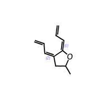 C=C/C=C1/CC(C)O/C1=C/C=C